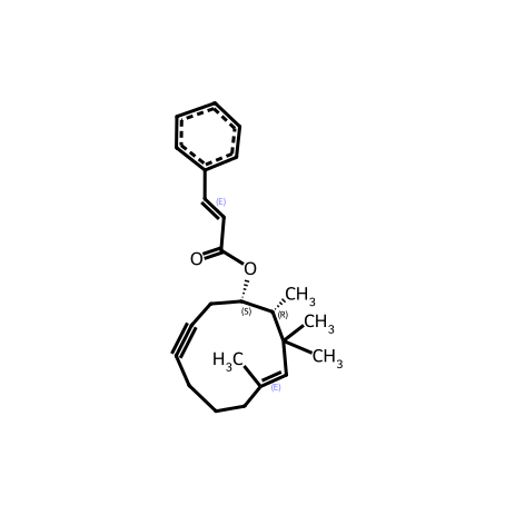 C/C1=C\C(C)(C)[C@@H](C)[C@@H](OC(=O)/C=C/c2ccccc2)CC#CCCC1